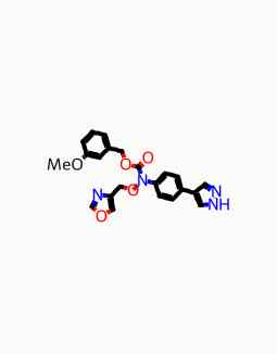 COc1cccc(COC(=O)N(OCc2cocn2)c2ccc(-c3cn[nH]c3)cc2)c1